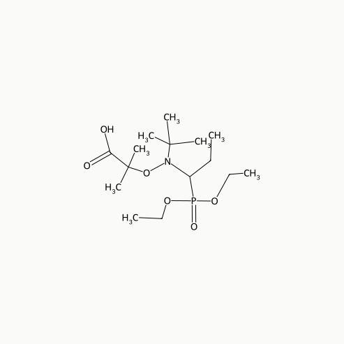 CCOP(=O)(OCC)C(CC)N(OC(C)(C)C(=O)O)C(C)(C)C